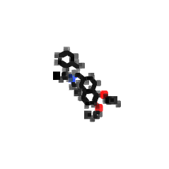 COc1ccc2c(c1OC)CCC1[C@@H]2CN(C)[C@@H]1Cc1ccccc1